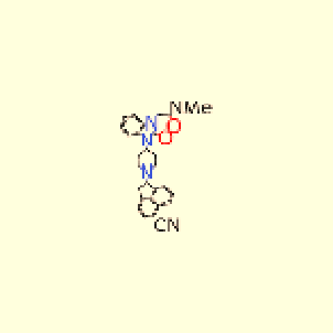 CNC(=O)Cn1c(=O)n(C2CCN(C3Cc4ccc(C#N)c5cccc3c45)CC2)c2ccccc21